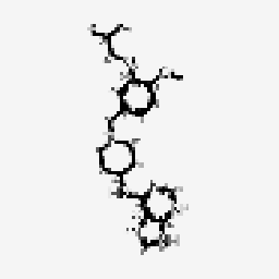 COc1ccc(CN2CCC(Nc3ncnc4[nH]cnc34)CC2)cc1OCC(C)C